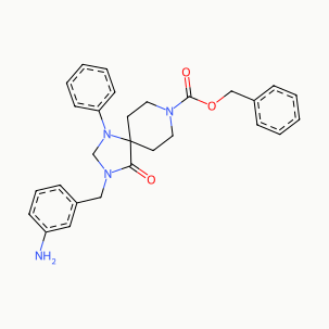 Nc1cccc(CN2CN(c3ccccc3)C3(CCN(C(=O)OCc4ccccc4)CC3)C2=O)c1